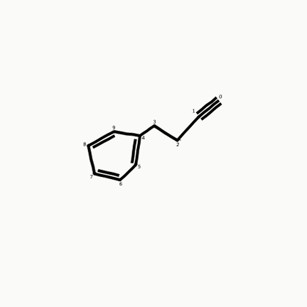 C#C[CH]Cc1ccccc1